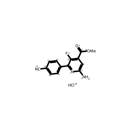 COC(=O)c1cc(N)nc(-c2ccc(C#N)cc2)c1F.Cl